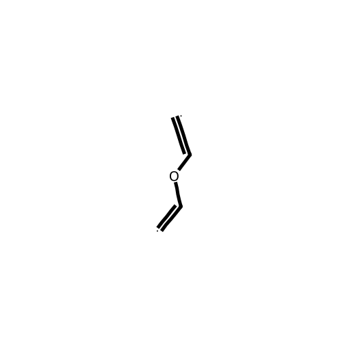 [CH]=COC=[CH]